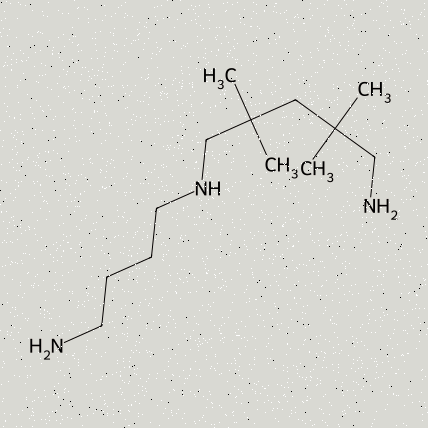 CC(C)(CN)CC(C)(C)CNCCCCN